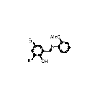 COc1ccccc1/N=C/c1cc(Br)cc(Br)c1O